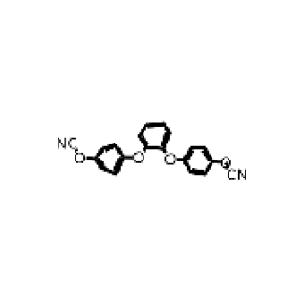 N#COc1ccc(Oc2ccccc2Oc2ccc(OC#N)cc2)cc1